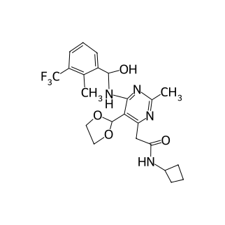 Cc1nc(CC(=O)NC2CCC2)c(C2OCCO2)c(NC(O)c2cccc(C(F)(F)F)c2C)n1